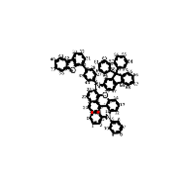 c1ccc(N(c2ccccc2)c2cccc3c2-c2cccc4ccc(N(c5ccc(-c6cccc7c6oc6ccccc67)cc5)c5ccc6c(c5)C(c5ccccc5)(c5ccccc5)c5ccccc5-6)c(c24)O3)cc1